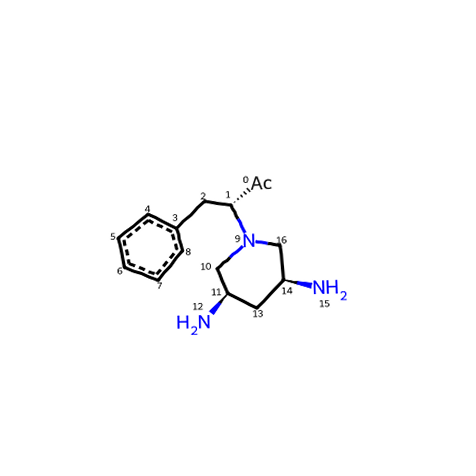 CC(=O)[C@@H](Cc1ccccc1)N1C[C@H](N)C[C@H](N)C1